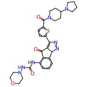 O=C(Nc1cccc2c1C(=O)C1=C(c3ccc(C(=O)N4CCC(N5CCCC5)CC4)s3)N=NC12)NN1CCOCC1